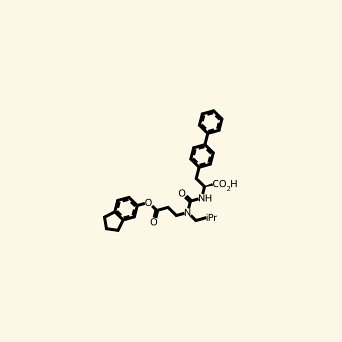 CC(C)CN(CCC(=O)Oc1ccc2c(c1)CCC2)C(=O)N[C@@H](Cc1ccc(-c2ccccc2)cc1)C(=O)O